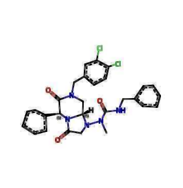 CN(C(=O)NCc1ccccc1)N1CC(=O)N2[C@@H](c3ccccc3)C(=O)N(Cc3ccc(Cl)c(Cl)c3)C[C@@H]21